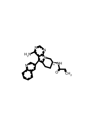 C=CC(=O)N[C@H]1CCc2c(-c3cnc4ccccc4c3)c3c(N)ncnc3n2C1